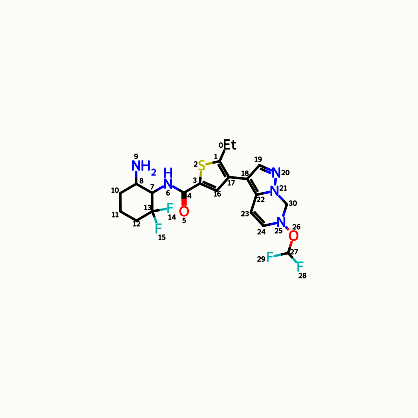 CCc1sc(C(=O)NC2C(N)CCCC2(F)F)cc1-c1cnn2c1C=CN(OC(F)F)C2